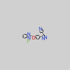 Cn1cc(-c2ccncc2)c(-c2ccc(OCc3nc4ccccc4n3CF)cc2)n1